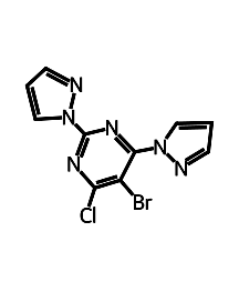 Clc1nc(-n2cccn2)nc(-n2cccn2)c1Br